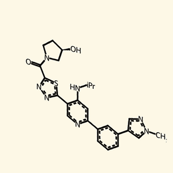 CC(C)Nc1cc(-c2cccc(-c3cnn(C)c3)c2)ncc1-c1nnc(C(=O)N2CC[C@@H](O)C2)s1